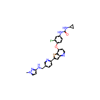 Cn1ccc(NCc2ccc(-c3cc4nccc(Oc5ccc(NC(=O)NC6CC6)cc5F)c4s3)nc2)n1